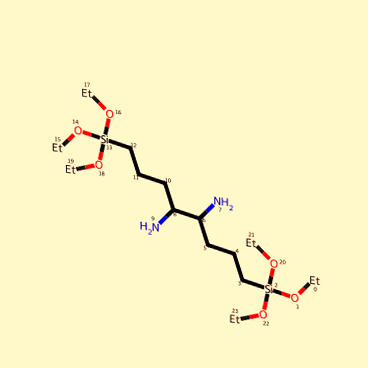 CCO[Si](CCCC(N)C(N)CCC[Si](OCC)(OCC)OCC)(OCC)OCC